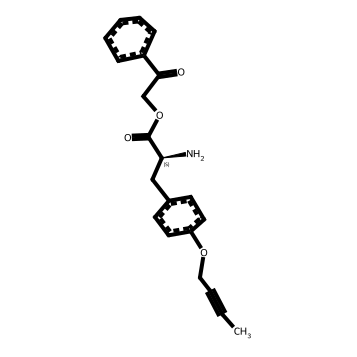 CC#CCOc1ccc(C[C@H](N)C(=O)OCC(=O)c2ccccc2)cc1